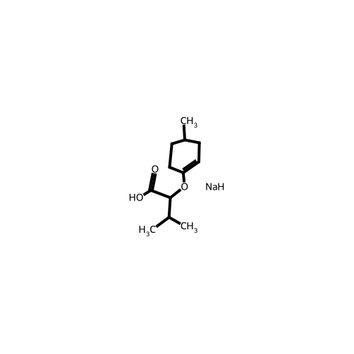 CC1CC=C(OC(C(=O)O)C(C)C)CC1.[NaH]